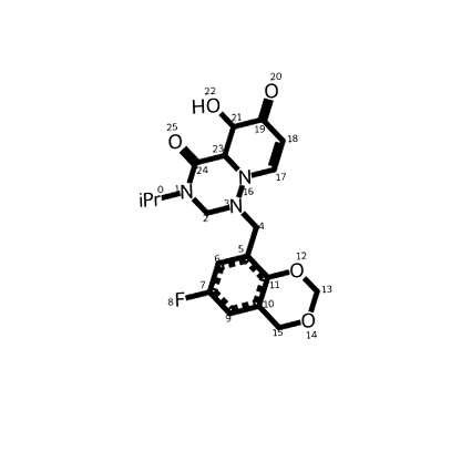 CC(C)N1CN(Cc2cc(F)cc3c2OCOC3)N2C=CC(=O)C(O)C2C1=O